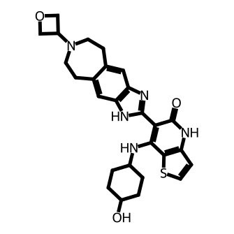 O=c1[nH]c2ccsc2c(NC2CCC(O)CC2)c1-c1nc2cc3c(cc2[nH]1)CCN(C1COC1)CC3